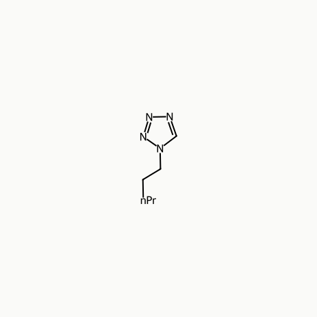 CCCCCn1cnnn1